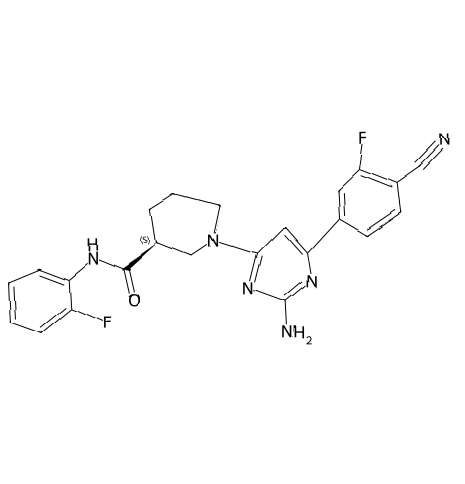 N#Cc1ccc(-c2cc(N3CCC[C@H](C(=O)Nc4ccccc4F)C3)nc(N)n2)cc1F